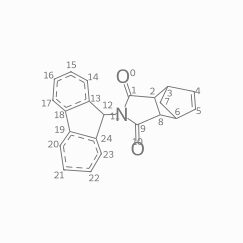 O=C1C2C3C=CC(C3)C2C(=O)N1C1c2ccccc2-c2ccccc21